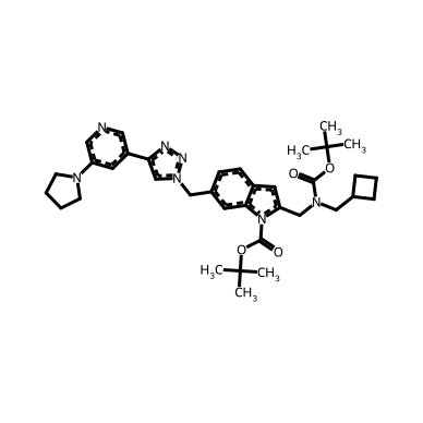 CC(C)(C)OC(=O)N(Cc1cc2ccc(Cn3cc(-c4cncc(N5CCCC5)c4)nn3)cc2n1C(=O)OC(C)(C)C)CC1CCC1